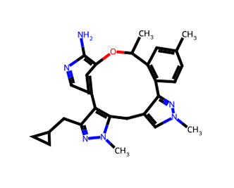 Cc1ccc2c(c1)C(C)Oc1cc(cnc1N)-c1c(CC3CC3)nn(C)c1Cc1cn(C)nc1-2